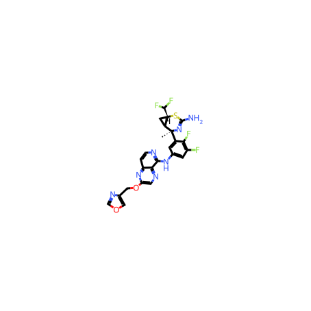 C[C@@]1(c2cc(Nc3nccc4nc(OCc5cocn5)cnc34)cc(F)c2F)N=C(N)S[C@@]2(C(F)F)C[C@@H]12